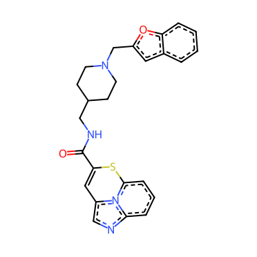 O=C(NCC1CCN(Cc2cc3ccccc3o2)CC1)C1=Cc2cnc3cccc(n23)S1